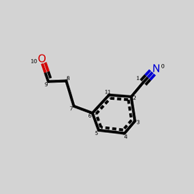 N#Cc1cccc(CCC=O)c1